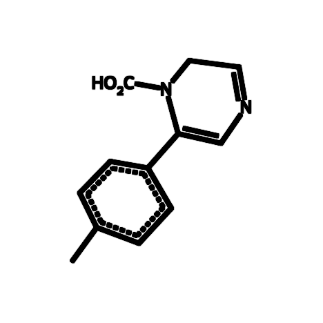 Cc1ccc(C2=CN=CCN2C(=O)O)cc1